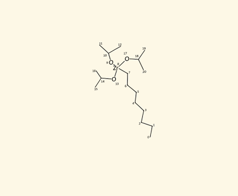 CCCCCCC[CH2][Zr]([O]C(C)C)([O]C(C)C)[O]C(C)C